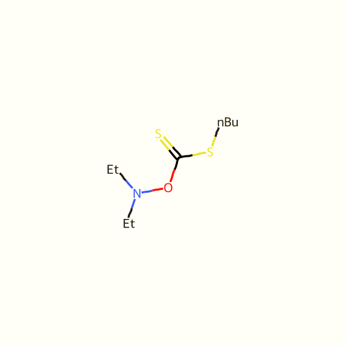 CCCCSC(=S)ON(CC)CC